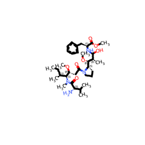 CC[C@H](C)[C@@H]([C@@H](CC(=O)N1CCC[C@H]1[C@H](OC)[C@@H](C)C(O)N[C@@H](Cc1ccccc1)C(=O)OC)OC)N(C)C(=O)[C@@H](N)C(C)C